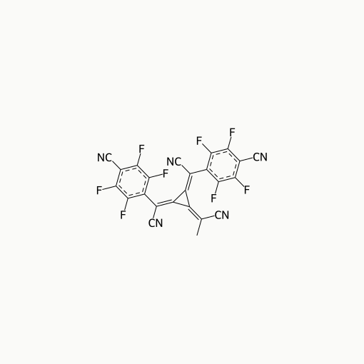 C/C(C#N)=C1/C(=C(C#N)c2c(F)c(F)c(C#N)c(F)c2F)/C1=C(/C#N)c1c(F)c(F)c(C#N)c(F)c1F